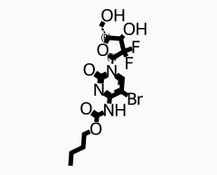 CCCCOC(=O)Nc1nc(=O)n([C@@H]2O[C@H](CO)C(O)C2(F)F)cc1Br